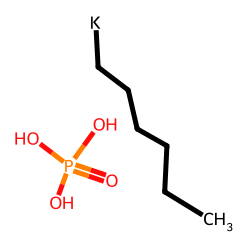 CCCCC[CH2][K].O=P(O)(O)O